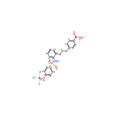 O=C(O)c1ccc(CCCc2ccccc2NS(=O)(=O)c2ccc(OC(F)(F)F)cc2)cc1